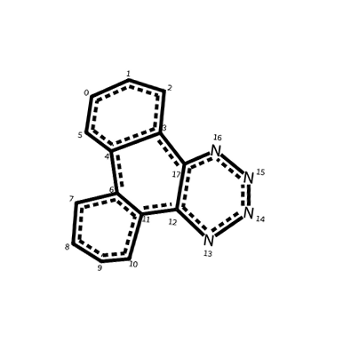 c1ccc2c(c1)c1ccccc1c1nnnnc21